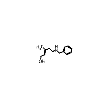 CC(=CCO)CCNCc1ccccc1